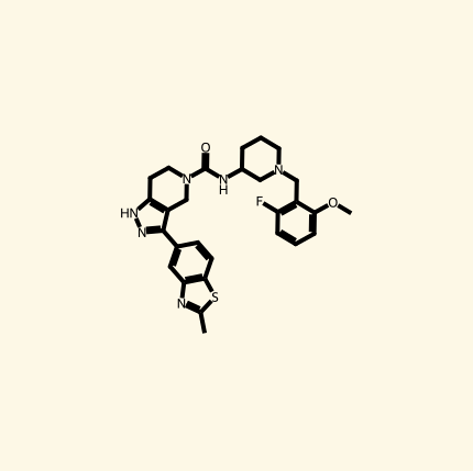 COc1cccc(F)c1CN1CCCC(NC(=O)N2CCc3[nH]nc(-c4ccc5sc(C)nc5c4)c3C2)C1